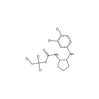 O=C(NC1CCCC1Nc1ccc(Cl)c(Cl)c1)OC(Cl)(Cl)CCl